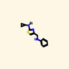 CCN(c1nc(CNc2ccccc2)cs1)C1CC1